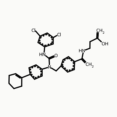 C=C(O)CCNC(=C)c1ccc(CN(C(=O)Nc2cc(Cl)cc(Cl)c2)c2ccc(C3=CCCCC3)cc2)cc1